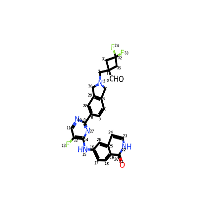 O=CC1(CN2Cc3ccc(-c4ncc(F)c(Nc5ccc6c(=O)[nH]ccc6c5)n4)cc3C2)CC(F)(F)C1